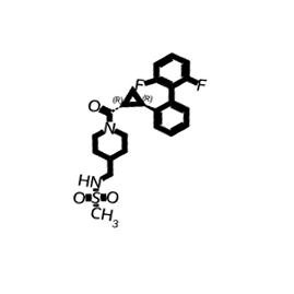 CS(=O)(=O)NCC1CCN(C(=O)[C@@H]2C[C@H]2c2ccccc2-c2c(F)cccc2F)CC1